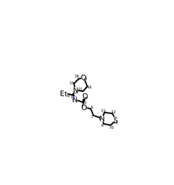 CC/C(=N/C(=O)OCCN1CCSCC1)N1CCOCC1